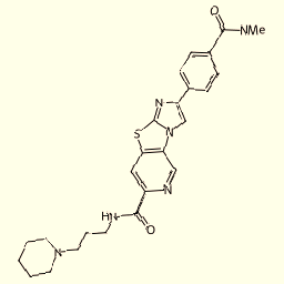 CNC(=O)c1ccc(-c2cn3c(n2)sc2cc(C(=O)NCCCN4CCCCC4)ncc23)cc1